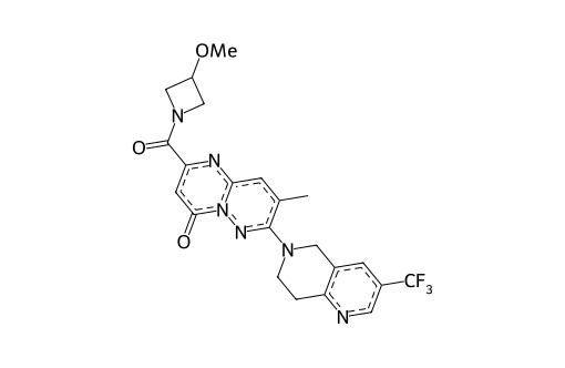 COC1CN(C(=O)c2cc(=O)n3nc(N4CCc5ncc(C(F)(F)F)cc5C4)c(C)cc3n2)C1